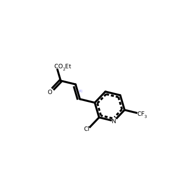 CCOC(=O)C(=O)/C=C/c1ccc(C(F)(F)F)nc1Cl